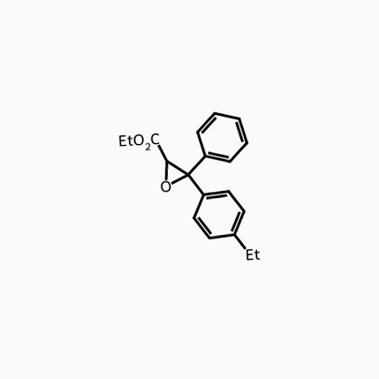 CCOC(=O)C1OC1(c1ccccc1)c1ccc(CC)cc1